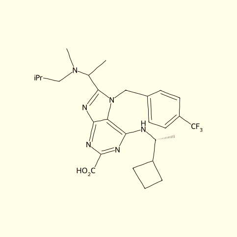 CC(C)CN(C)C(C)c1nc2nc(C(=O)O)nc(N[C@H](C)C3CCC3)c2n1Cc1ccc(C(F)(F)F)cc1